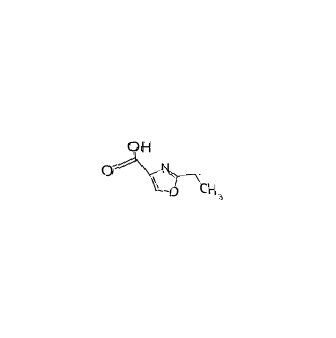 C[CH]c1nc(C(=O)O)co1